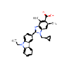 CCn1c2ccccc2c2cc(-c3nc4c(C)c(C(=O)O)c(C)cc4n3CC3CC3)ccc21